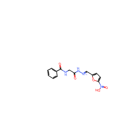 O=C(CNC(=O)c1ccccc1)N/N=C/c1ccc([N+](=O)O)o1